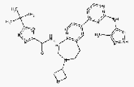 Cc1n[nH]cc1Nc1nccc(-c2ccc3c(c2)CCN(C2COC2)C[C@@H]3NC(=O)c2nnc(C(C)(C)C)o2)n1